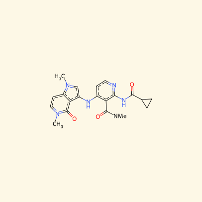 CNC(=O)c1c(Nc2cn(C)c3ccn(C)c(=O)c23)ccnc1NC(=O)C1CC1